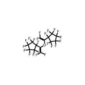 FC(F)=C(OC(=C(F)F)C1(F)C(F)(F)C(F)(F)C(F)(F)C1(F)F)C1(F)C(F)(F)C(F)(F)C(F)(F)C1(F)F